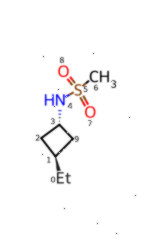 CC[C@H]1C[C@H](NS(C)(=O)=O)C1